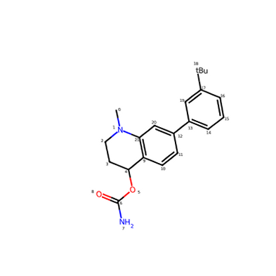 CN1CCC(OC(N)=O)c2ccc(-c3cccc(C(C)(C)C)c3)cc21